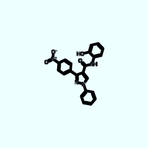 O=C(Nc1ccccc1O)c1cn(-c2ccccc2)nc1-c1ccc([N+](=O)[O-])cc1